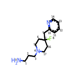 NCCCN1CCC(F)(Cc2ccccn2)CC1